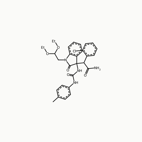 CCOC(CN1C(=O)C(NC(=O)Nc2ccc(C)cc2)(C(C(N)=O)c2ccccc2Cl)c2ccccc21)OCC